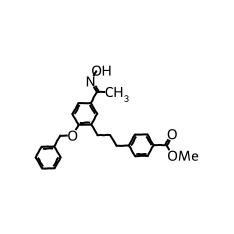 COC(=O)c1ccc(CCCc2cc(C(C)=NO)ccc2OCc2ccccc2)cc1